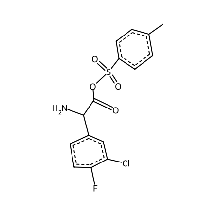 Cc1ccc(S(=O)(=O)OC(=O)C(N)c2ccc(F)c(Cl)c2)cc1